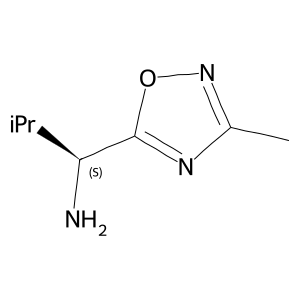 Cc1noc([C@@H](N)C(C)C)n1